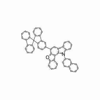 c1ccc2c(c1)-c1ccccc1C21c2ccccc2-c2cc(-c3cc4c5ccccc5n(-c5ccc6ccccc6c5)c4c4c3oc3ccccc34)ccc21